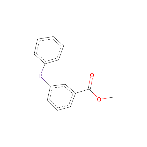 COC(=O)c1cccc([I+]c2ccccc2)c1